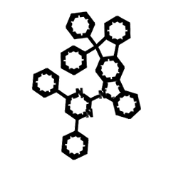 c1ccc(-c2cc(-c3ccccc3)nc(-n3c4ccccc4c4cc5c(cc43)C(c3ccccc3)(c3ccccc3)c3ccccc3-5)n2)cc1